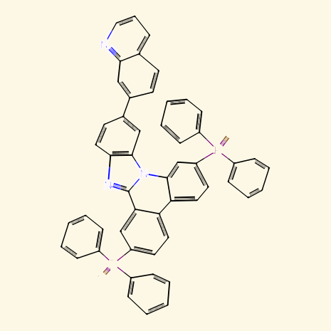 S=P(c1ccccc1)(c1ccccc1)c1ccc2c3ccc(P(=S)(c4ccccc4)c4ccccc4)cc3n3c4cc(-c5ccc6cccnc6c5)ccc4nc3c2c1